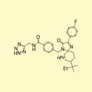 CCC[C@H](c1ccc(C(=O)NCc2nn[nH]n2)cc1)N1C(=O)C(c2ccc(F)cc2)=NC12CCC(C(C)(C)CC)CC2